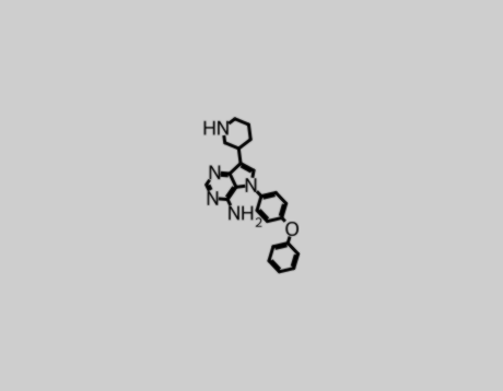 Nc1ncnc2c(C3CCCNC3)cn(-c3ccc(Oc4ccccc4)cc3)c12